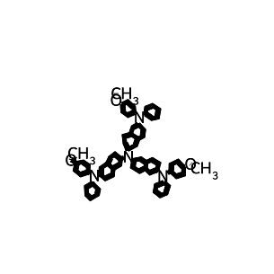 COc1ccc(N(c2ccccc2)c2ccc3cc(N(c4ccc5cc(N(c6ccccc6)c6ccc(OC)cc6)ccc5c4)c4ccc5cc(N(c6ccccc6)c6ccc(OC)cc6)ccc5c4)ccc3c2)cc1